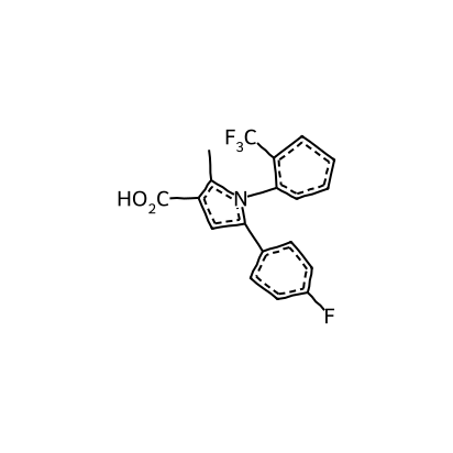 Cc1c(C(=O)O)cc(-c2ccc(F)cc2)n1-c1ccccc1C(F)(F)F